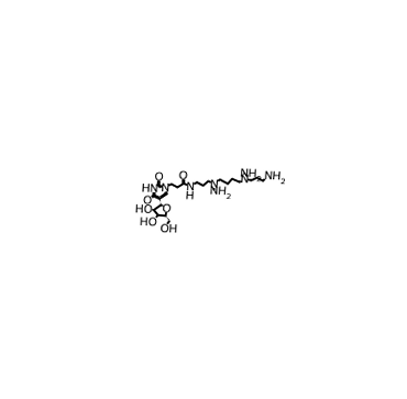 NCCCN(N)CCCCN(N)CCCNC(=O)CCn1cc([C@@H]2O[C@H](CO)C(O)[C@@H]2O)c(=O)[nH]c1=O